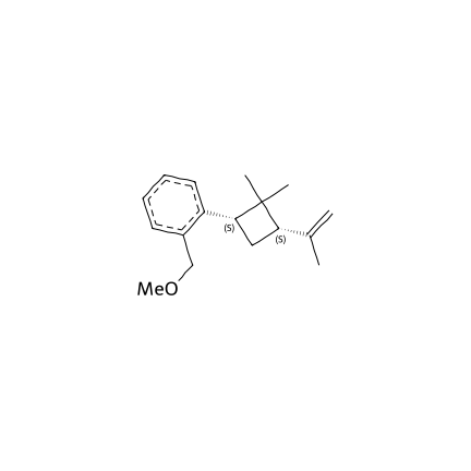 C=C(C)[C@@H]1C[C@H](c2ccccc2COC)C1(C)C